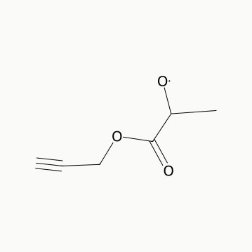 C#CCOC(=O)C(C)[O]